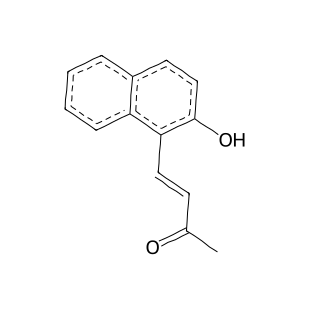 CC(=O)/C=C/c1c(O)ccc2ccccc12